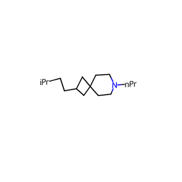 CCCN1CCC2(CC1)CC(CCC(C)C)C2